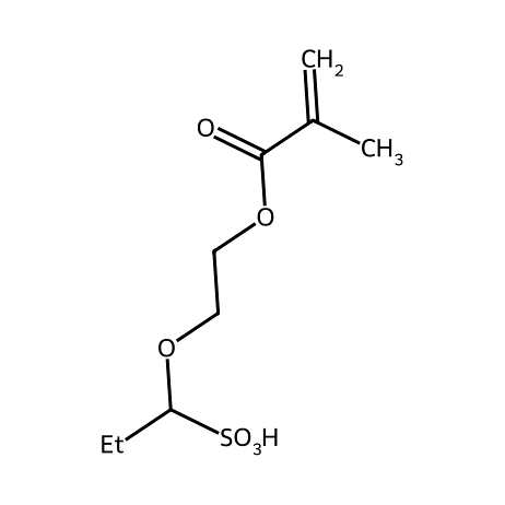 C=C(C)C(=O)OCCOC(CC)S(=O)(=O)O